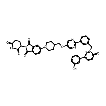 N#Cc1cccc(-c2ccc(=O)n(Cc3cccc(-c4ncc(OCC5CCN(c6[c]c7c(cc6)C(=O)N(C6CCC(=O)NC6=O)C7=O)CC5)cn4)c3)n2)c1